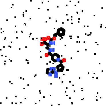 O=C(N[C@@H](CNC(=O)C1CCN(C(=O)[C@H]2C=C[C@@H](NC3=NCCN3)C2)CC1)C(=O)O)OCc1ccccc1